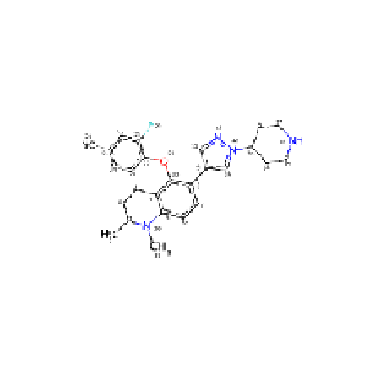 CC1CCc2c(ccc(-c3cnn(C4CCNCC4)c3)c2Oc2ccc(C#N)cc2F)N1C